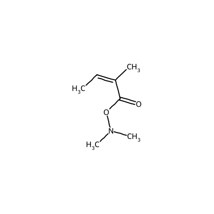 CC=C(C)C(=O)ON(C)C